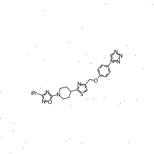 CC(C)c1noc(N2CCC(c3nc(COc4ccc(-n5cnnn5)cc4)cs3)CC2)n1